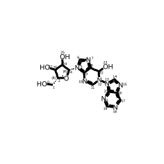 OC[C@H]1O[C@@H](n2cnc3c2N=CN(n2cnc4cncnc42)C3O)C(O)C1O